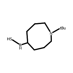 CC(C)(C)N1CCCC(BS)CCC1